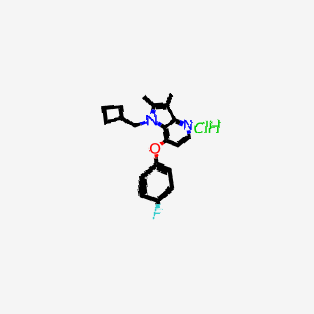 Cc1c(C)n(CC2CCC2)c2c(Oc3ccc(F)cc3)ccnc12.Cl